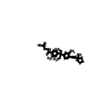 CCC(CC)(c1ccc(C#CC2(O)CCCC2)c(C)c1)c1ccc(C(=O)NCC(=O)O)c(C)c1